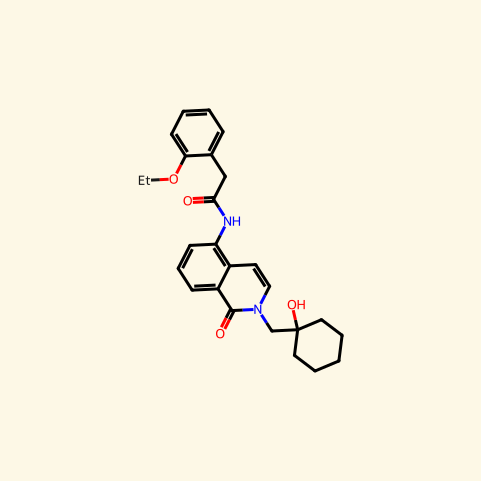 CCOc1ccccc1CC(=O)Nc1cccc2c(=O)n(CC3(O)CCCCC3)ccc12